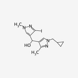 Cc1nn(CC2CC2)cc1C(O)c1cn(C)nc1I